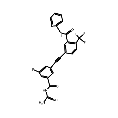 N=C(N)NC(=O)c1cc(F)cc(C#Cc2ccc(C(F)(F)F)c(C(=O)Nc3ccccn3)c2)c1